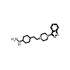 NNC1CCC(CCN2CCN(c3nsc4ccccc34)CC2)CC1